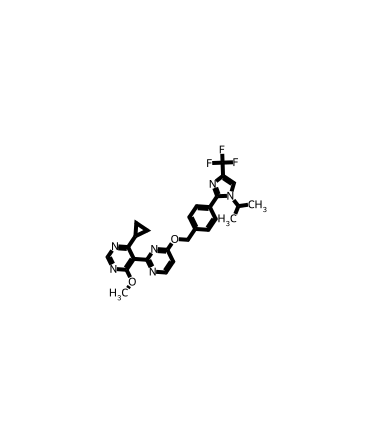 COc1ncnc(C2CC2)c1-c1nccc(OCc2ccc(-c3nc(C(F)(F)F)cn3C(C)C)cc2)n1